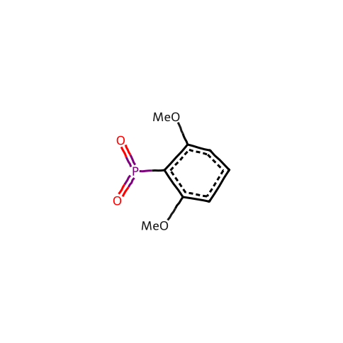 COc1cccc(OC)c1P(=O)=O